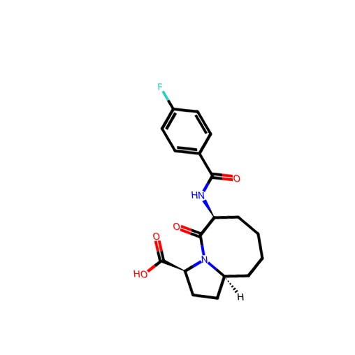 O=C(N[C@H]1CCCC[C@H]2CC[C@@H](C(=O)O)N2C1=O)c1ccc(F)cc1